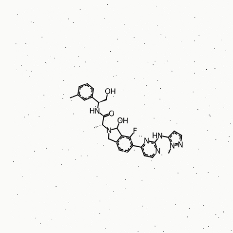 Cc1cccc([C@@H](CO)NC(=O)[C@@H](C)N2Cc3ccc(-c4ccnc(Nc5ccnn5C)n4)c(F)c3C2O)c1